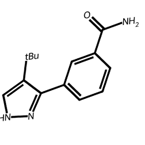 CC(C)(C)c1c[nH]nc1-c1cccc(C(N)=O)c1